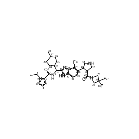 CCn1nccc1C(=O)NC(c1nc2c(F)c(C3CNCC3C(=O)N3CC(F)(F)C3)ccc2[nH]1)C1CCC(C)CC1